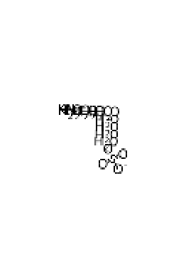 O.O.O.O.O.O.O.O.O.O.O=S(=O)([O-])[O-].[K+].[Na+]